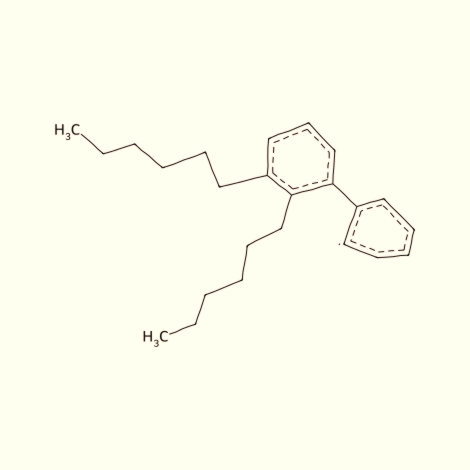 CCCCCCc1cccc(-c2[c]cccc2)c1CCCCCC